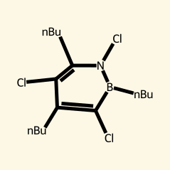 CCCCB1C(Cl)=C(CCCC)C(Cl)=C(CCCC)N1Cl